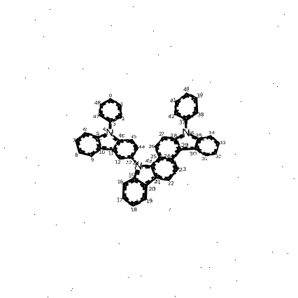 c1ccc(-n2c3ccccc3c3cc(-n4c5ccccc5c5ccc6c(ccc7c6c6ccccc6n7-c6ccccc6)c54)ccc32)cc1